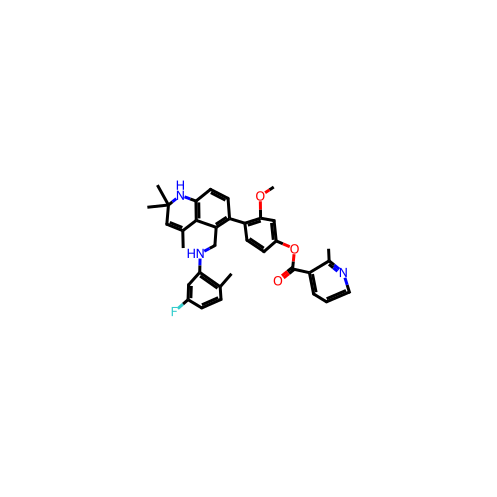 COc1cc(OC(=O)c2cccnc2C)ccc1-c1ccc2c(c1CNc1cc(F)ccc1C)C(C)=CC(C)(C)N2